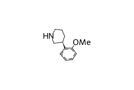 COc1ccccc1[C@@H]1CCCNC1